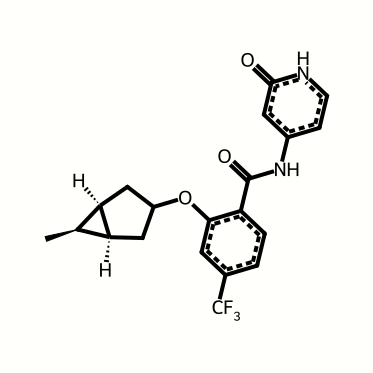 C[C@H]1[C@H]2CC(Oc3cc(C(F)(F)F)ccc3C(=O)Nc3cc[nH]c(=O)c3)C[C@@H]12